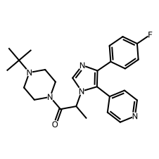 CC(C(=O)N1CCN(C(C)(C)C)CC1)n1cnc(-c2ccc(F)cc2)c1-c1ccncc1